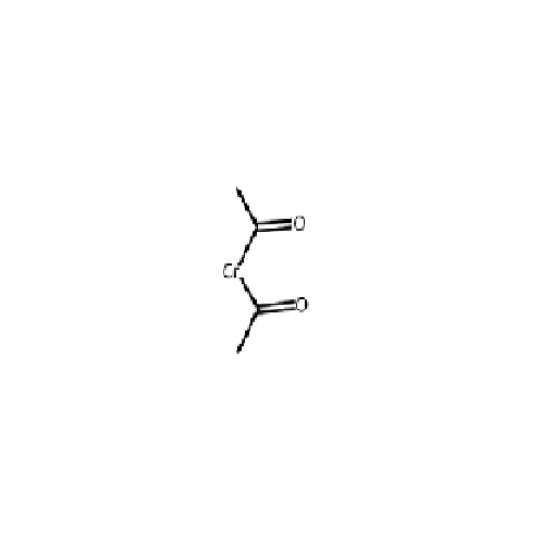 C[C](=O)[Cr][C](C)=O